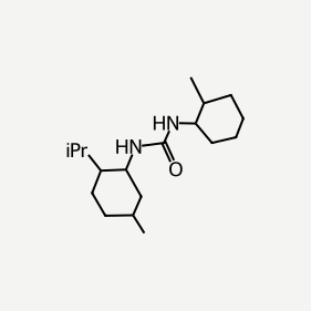 CC1CCC(C(C)C)C(NC(=O)NC2CCCCC2C)C1